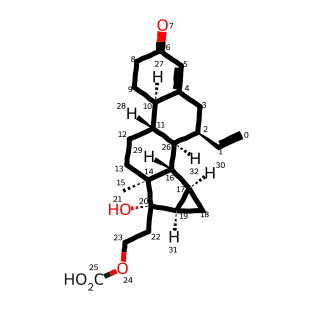 C=C[C@@H]1CC2=CC(=O)CC[C@@H]2[C@H]2CC[C@@]3(C)[C@@H]([C@H]4C[C@H]4[C@@]3(O)CCOC(=O)O)[C@@H]21